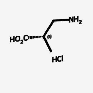 C[C@@H](CN)C(=O)O.Cl